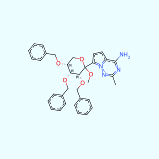 COC1(c2ccc3c(N)nc(C)nn23)OC[C@@H](OCc2ccccc2)[C@@H](OCc2ccccc2)[C@H]1OCc1ccccc1